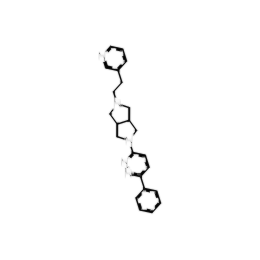 c1ccc(-c2ccc(N3CC4CN(CCc5cccnc5)CC4C3)nn2)cc1